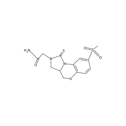 CS(=O)(=O)c1ccc2c(c1)N1C(=S)N(CC(N)=O)CC1CO2